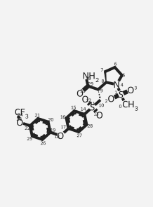 CS(=O)(=O)N1CCC[C@@H]1[C@H](CS(=O)(=O)c1ccc(Oc2ccc(OC(F)(F)F)cc2)cc1)C(N)=O